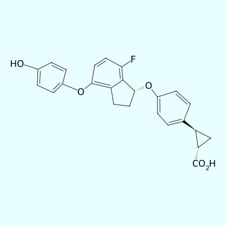 O=C(O)[C@H]1C[C@@H]1c1ccc(O[C@@H]2CCc3c(Oc4ccc(O)cc4)ccc(F)c32)cc1